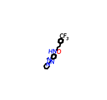 Cn1c(N2CCCCC2)nc2ccc(NC(=O)CCc3ccc(C(F)(F)F)cc3)cc21